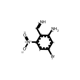 N=Cc1c(N)cc(Br)cc1[N+](=O)[O-]